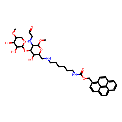 COC1COC(OC2C(O)C(CNCCCCCCNC(=O)OCc3ccc4ccc5cccc6ccc3c4c56)OC(OC)C2NCC=O)C(O)C1O